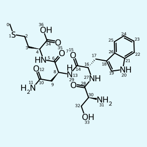 CSCC[C@H](NC(=O)[C@H](CC(N)=O)NC(=O)[C@H](Cc1c[nH]c2ccccc12)NC(=O)[C@@H](N)CO)C(=O)O